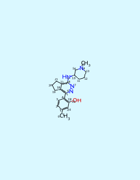 Cc1ccc(-c2nnc(N[C@@H]3CCCN(C)C3)c3c2CCC3)c(O)c1